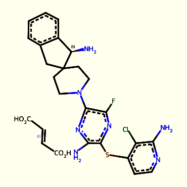 Nc1nc(N2CCC3(CC2)Cc2ccccc2[C@H]3N)c(F)nc1Sc1ccnc(N)c1Cl.O=C(O)/C=C/C(=O)O